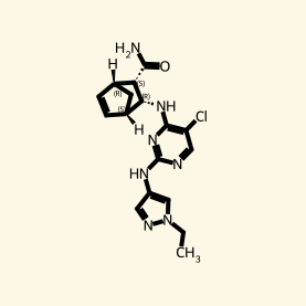 CCn1cc(Nc2ncc(Cl)c(N[C@H]3[C@@H](C(N)=O)[C@H]4C=C[C@@H]3C4)n2)cn1